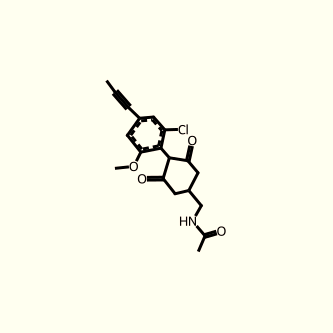 CC#Cc1cc(Cl)c(C2C(=O)CC(CNC(C)=O)CC2=O)c(OC)c1